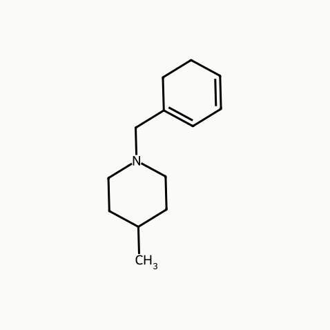 CC1CCN(CC2=CC=CCC2)CC1